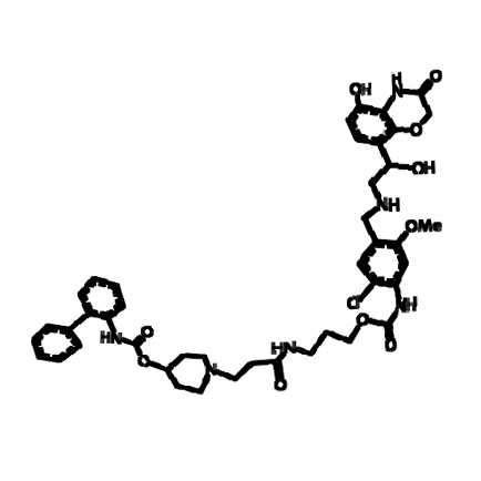 COc1cc(NC(=O)OCCCNC(=O)CCN2CCC(OC(=O)Nc3ccccc3-c3ccccc3)CC2)c(Cl)cc1CNCC(O)c1ccc(O)c2c1OCC(=O)N2